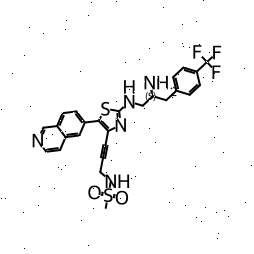 CS(=O)(=O)NCC#Cc1nc(NC[C@@H](N)Cc2ccc(C(F)(F)F)cc2)sc1-c1ccc2cnccc2c1